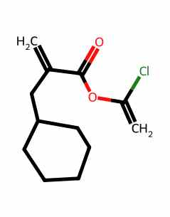 C=C(Cl)OC(=O)C(=C)CC1CCCCC1